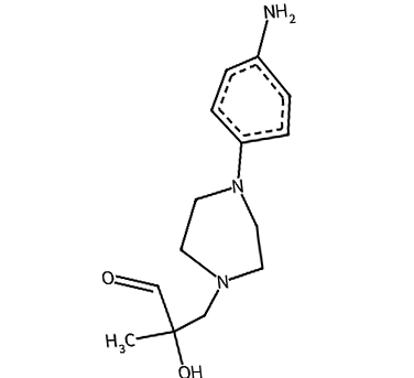 CC(O)(C=O)CN1CCN(c2ccc(N)cc2)CC1